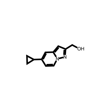 OCc1cc2cc(C3CC3)ccn2n1